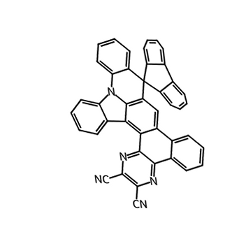 N#Cc1nc2c3ccccc3c3cc4c5c(c6ccccc6n5-c5ccccc5C45c4ccccc4-c4ccccc45)c3c2nc1C#N